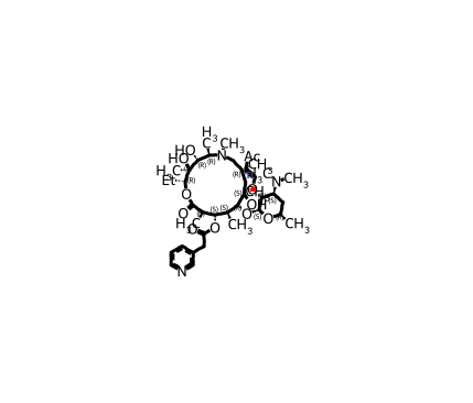 CC[C@H]1OC(=O)[C@H](C)[C@@H](OC(=O)Cc2cccnc2)[C@H](C)[C@@H](O[C@@H]2O[C@H](C)C[C@H](N(C)C)[C@H]2O/C=C/C(C)=O)[C@@](C)(O)C[C@@H](C)CN(C)[C@H](C)[C@@H](O)[C@]1(C)O